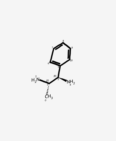 C[C@H](N)[C@H](N)c1ccccc1